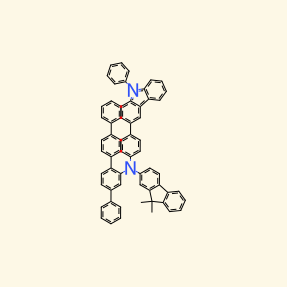 CC1(C)c2ccccc2-c2ccc(N(c3ccc(-c4ccc5c(c4)c4ccccc4n5-c4ccccc4)cc3)c3cc(-c4ccccc4)ccc3-c3ccc(-c4ccccc4)cc3)cc21